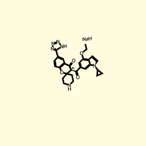 CCOc1cc(C(=O)[C@@H]2C(=O)c3cc(-c4nnn[nH]4)ccc3OC23CCNCC3)cc2c1ccn2C1CC1.[NaH]